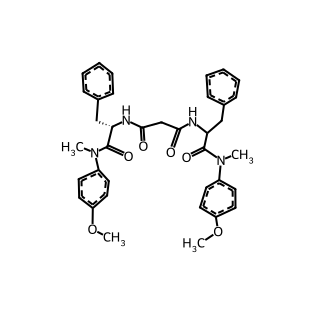 COc1ccc(N(C)C(=O)C(Cc2ccccc2)NC(=O)CC(=O)N[C@@H](Cc2ccccc2)C(=O)N(C)c2ccc(OC)cc2)cc1